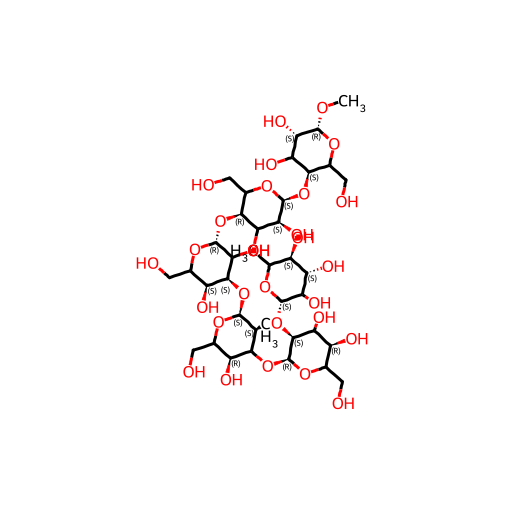 CO[C@@H]1OC(CO)[C@@H](O[C@@H]2OC(CO)[C@H](O[C@H]3OC(CO)[C@H](O)[C@H](O[C@@H]4OC(CO)[C@H](O)C(O[C@@H]5OC(CO)[C@H](O)C(O)[C@@H]5O[C@@H]5OC(C)[C@@H](O)[C@H](O)C5O)[C@@H]4C)C3O)C(O)[C@@H]2O)C(O)[C@@H]1O